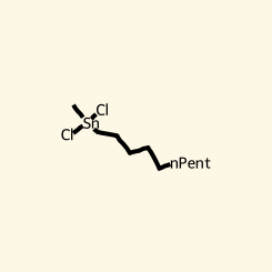 CCCCCCCCC[CH2][Sn]([CH3])([Cl])[Cl]